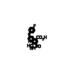 CCCC(=O)c1cc(C(=O)O)c2cc(Cc3ccc(F)cc3)cnc2c1O